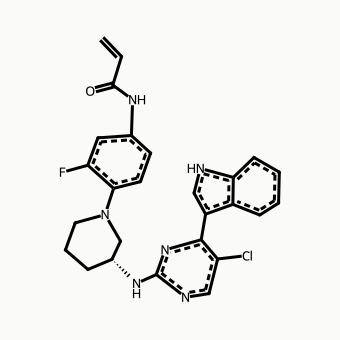 C=CC(=O)Nc1ccc(N2CCC[C@@H](Nc3ncc(Cl)c(-c4c[nH]c5ccccc45)n3)C2)c(F)c1